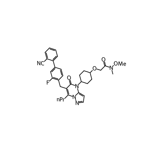 CCCc1c(Cc2ccc(-c3ccccc3C#N)cc2F)c(=O)n(C2CCC(OCC(=O)N(C)OC)CC2)c2ccnn12